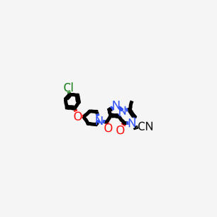 Cc1cn(CC#N)c(=O)c2c(C(=O)N3CCC(Oc4ccc(Cl)cc4)CC3)cnn12